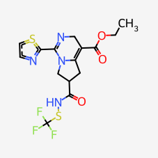 CCOC(=O)C1=C2CC(C(=O)NSC(F)(F)F)CN2C(c2nccs2)=NC1